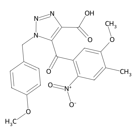 COc1ccc(Cn2nnc(C(=O)O)c2C(=O)c2cc(OC)c(C)cc2[N+](=O)[O-])cc1